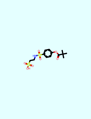 CC(C)(C)C(=O)Oc1ccc(S(=O)(=O)NCCS(=O)(=O)O)cc1